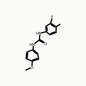 COc1ccc(NC(=O)Nc2ccc(C)c(F)c2)cc1